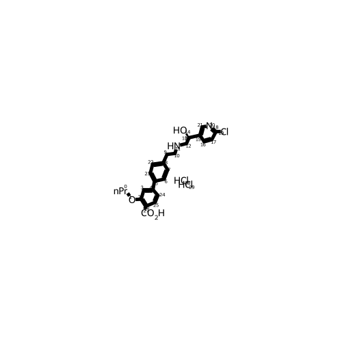 CCCOc1cc(-c2ccc(CCNC[C@@H](O)c3ccc(Cl)nc3)cc2)ccc1C(=O)O.Cl.Cl